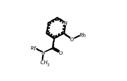 C[N]([Rf])C(=O)c1cccnc1[O][Rh]